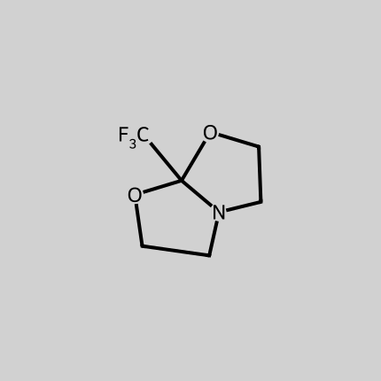 FC(F)(F)C12OCCN1CCO2